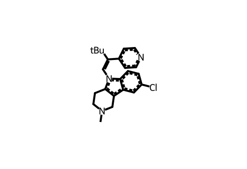 CN1CCc2c(c3cc(Cl)ccc3n2/C=C(\c2ccncc2)C(C)(C)C)C1